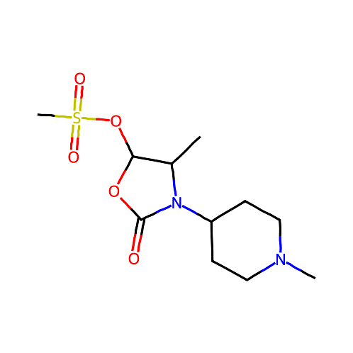 CC1C(OS(C)(=O)=O)OC(=O)N1C1CCN(C)CC1